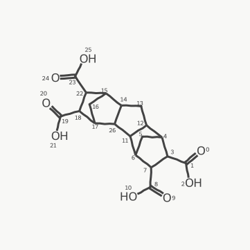 O=C(O)C1C2CC(C1C(=O)O)C1C2CC2C3CC(C(C(=O)O)C3C(=O)O)C21